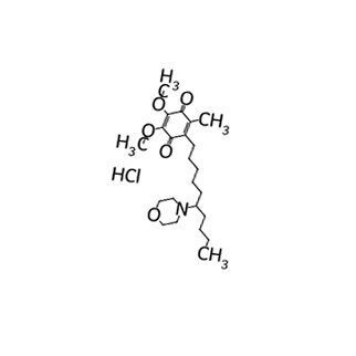 CCCCC(CCCCCC1=C(C)C(=O)C(OC)=C(OC)C1=O)N1CCOCC1.Cl